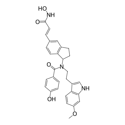 COc1ccc2c(CCN(C(=O)c3ccc(O)cc3)C3CCc4cc(C=CC(=O)NO)ccc43)c[nH]c2c1